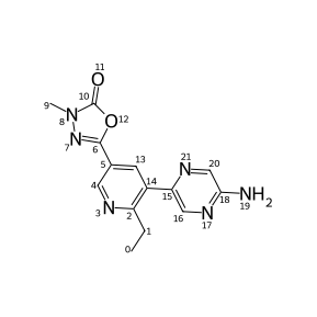 CCc1ncc(-c2nn(C)c(=O)o2)cc1-c1cnc(N)cn1